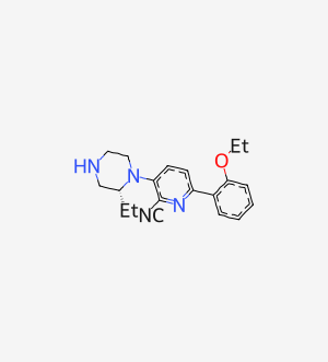 CCOc1ccccc1-c1ccc(N2CCNC[C@H]2CC)c(C#N)n1